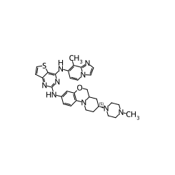 Cc1c(Nc2nc(Nc3ccc4c(c3)OCC3C[C@@H](N5CCN(C)CC5)CCN43)nc3ccsc23)ccn2ccnc12